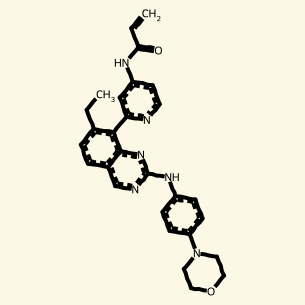 C=CC(=O)Nc1ccnc(-c2c(CC)ccc3cnc(Nc4ccc(N5CCOCC5)cc4)nc23)c1